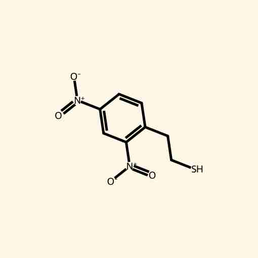 O=[N+]([O-])c1ccc(CCS)c([N+](=O)[O-])c1